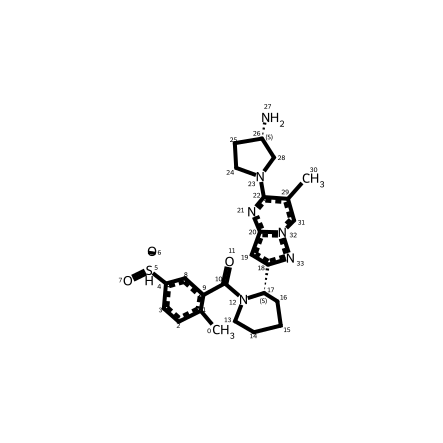 Cc1ccc([SH](=O)=O)cc1C(=O)N1CCCC[C@H]1c1cc2nc(N3CC[C@H](N)C3)c(C)cn2n1